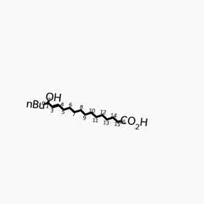 CCCCC(O)C=CCCCCCCCCCCCC(=O)O